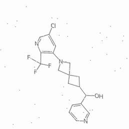 OC(c1cccnc1)C1CC2(C1)CN(c1cc(Cl)cnc1C(F)(F)F)C2